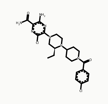 CC[C@H]1CN(c2nc(N)c(C(N)=O)nc2Cl)CCN1C1CCN(C(=O)c2ccc(Cl)cc2)CC1